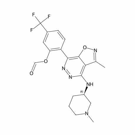 Cc1noc2c(-c3ccc(C(F)(F)F)cc3OC=O)nnc(N[C@@H]3CCCN(C)C3)c12